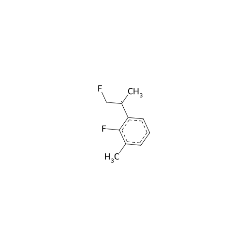 C[C](CF)c1cccc(C)c1F